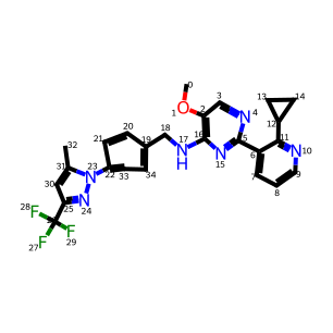 COc1cnc(-c2cccnc2C2CC2)nc1NCc1ccc(-n2nc(C(F)(F)F)cc2C)cc1